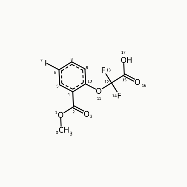 COC(=O)c1cc(I)ccc1OC(F)(F)C(=O)O